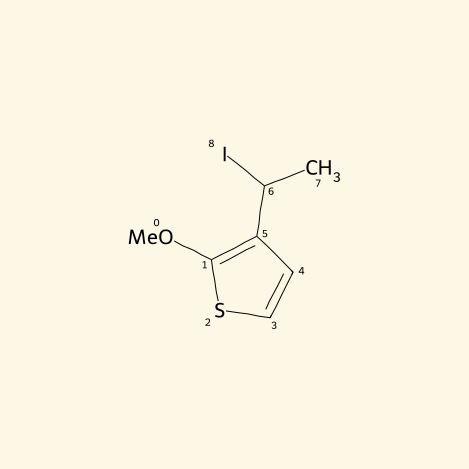 COc1sccc1C(C)I